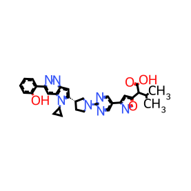 CC(C)C(C(=O)O)c1cc(-c2cnc(N3CC[C@H](c4cc5nnc(-c6ccccc6O)cc5n4C4CC4)C3)nc2)no1